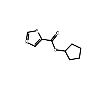 O=C(OC1CCCC1)c1cncs1